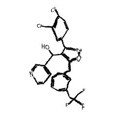 OC(c1cccnc1)c1c(-c2ccc(Cl)c(Cl)c2)noc1-c1cccc(C(F)(F)F)c1